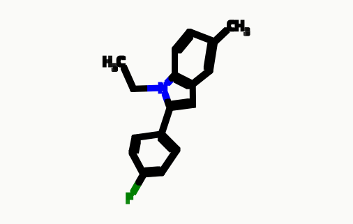 CCn1c(-c2ccc(F)cc2)cc2cc(C)ccc21